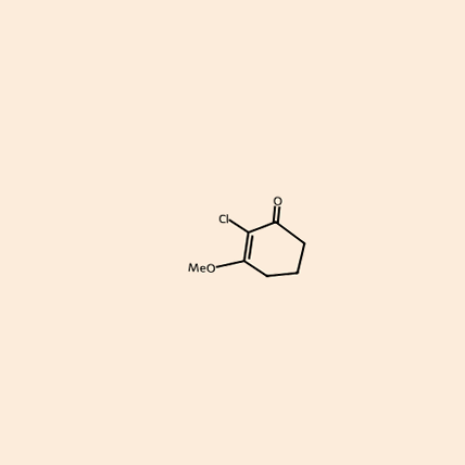 COC1=C(Cl)C(=O)CCC1